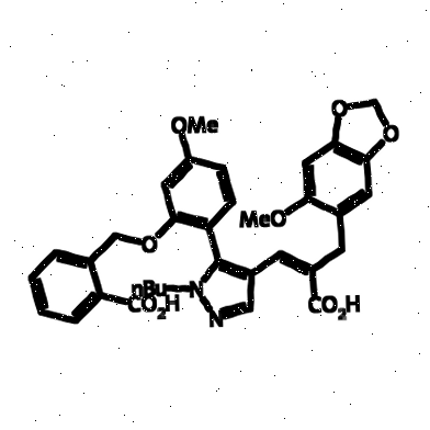 CCCCn1ncc(C=C(Cc2cc3c(cc2OC)OCO3)C(=O)O)c1-c1ccc(OC)cc1OCc1ccccc1C(=O)O